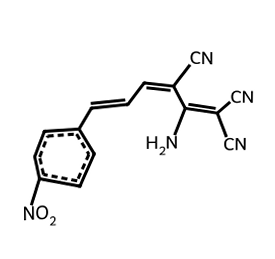 N#CC(=CC=Cc1ccc([N+](=O)[O-])cc1)C(N)=C(C#N)C#N